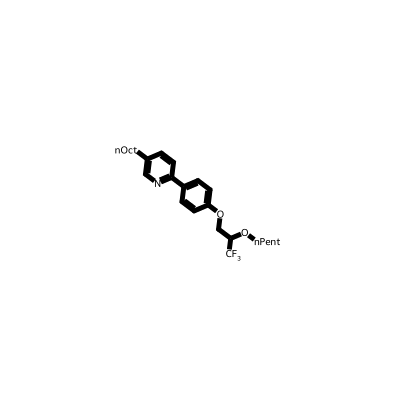 CCCCCCCCc1ccc(-c2ccc(OCC(OCCCCC)C(F)(F)F)cc2)nc1